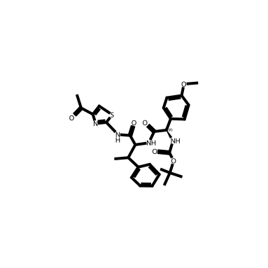 COc1ccc([C@@H](NC(=O)OC(C)(C)C)C(=O)NC(C(=O)Nc2nc(C(C)=O)cs2)C(C)c2ccccc2)cc1